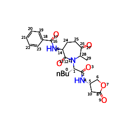 CCCC[C@@H](C(=O)N[C@@H]1COC(=O)C1)N1C(=O)[C@@H](NC(=O)c2ccccc2)CCC(=O)C1C